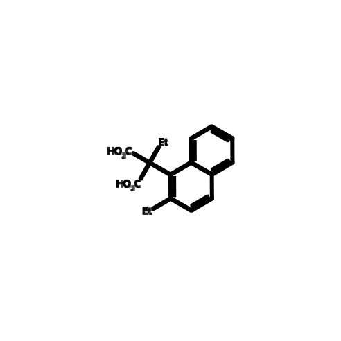 CCc1ccc2ccccc2c1C(CC)(C(=O)O)C(=O)O